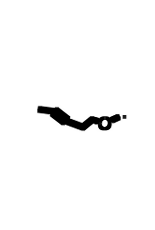 [CH2]OCCC#CC